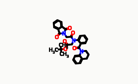 CC(C)(C)OC(=O)CN(C(=O)CN1C(=O)c2ccccc2C1=O)c1ccccc1C(=O)N1CCCc2ccccc21